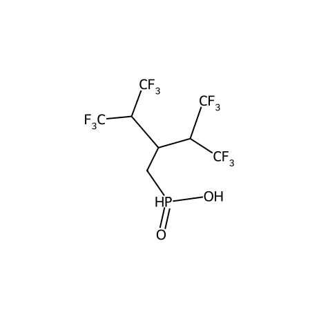 O=[PH](O)CC(C(C(F)(F)F)C(F)(F)F)C(C(F)(F)F)C(F)(F)F